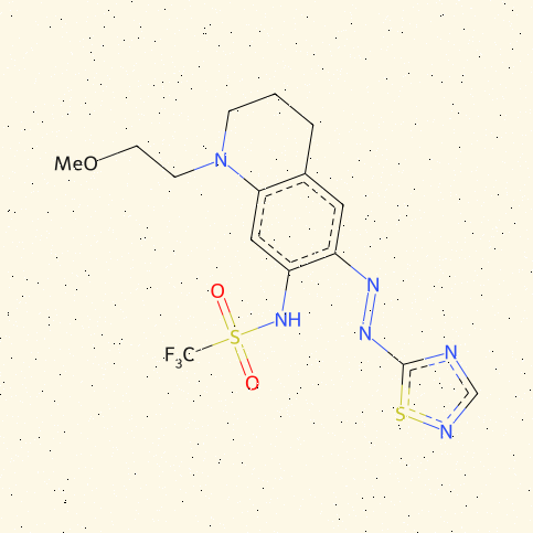 COCCN1CCCc2cc(N=Nc3ncns3)c(NS(=O)(=O)C(F)(F)F)cc21